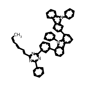 C\C=C/C=C/C=C/c1nc(-c2ccccc2)nc(-c2cccc(-c3cccc4c5cccc(-c6ccc7c8ccccc8n(-c8ccccc8)c7c6)c5n(-c5ccccc5)c34)c2)n1